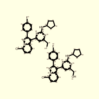 Fc1ccc(-c2nn3c(Cl)cccc3c2-c2cc(CI)nc(NC3CCCC3)n2)cc1.OCc1cc(-c2c(-c3ccc(F)cc3)nn3c(Cl)cccc23)nc(NC2CCCC2)n1